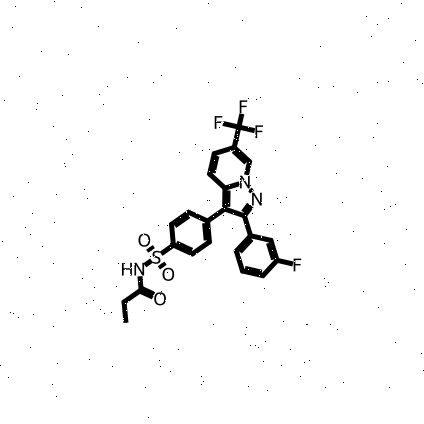 CCC(=O)NS(=O)(=O)c1ccc(-c2c(-c3cccc(F)c3)nn3cc(C(F)(F)F)ccc23)cc1